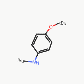 CCC(C)Nc1ccc(OC(C)(C)C)cc1